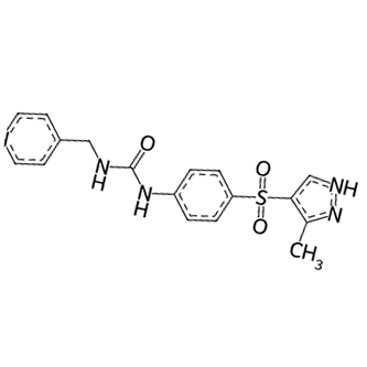 Cc1n[nH]cc1S(=O)(=O)c1ccc(NC(=O)NCc2ccncc2)cc1